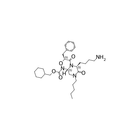 CCCCCN1C[C@@H]2N(C(=O)OCC3CCCCC3)O[C@@H](Cc3ccccc3)C(=O)N2[C@@H](CCCCN)C1=O